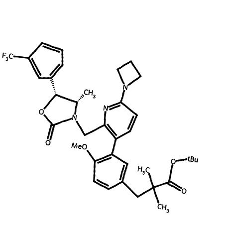 COc1ccc(CC(C)(C)C(=O)OC(C)(C)C)cc1-c1ccc(N2CCC2)nc1CN1C(=O)O[C@H](c2cccc(C(F)(F)F)c2)[C@@H]1C